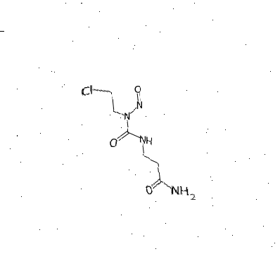 NC(=O)CCNC(=O)N(CCCl)N=O